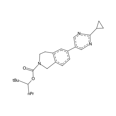 CCCC(OC(=O)N1CCc2cc(-c3cnc(C4CC4)nc3)ccc2C1)C(C)(C)C